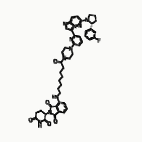 O=C1CCC(N2C(=O)c3cccc(NCCCCCCCC(=O)N4CCN(c5cccc(-c6cnc7ccc(N8CCC[C@@H]8c8cccc(F)c8)nn67)n5)CC4)c3C2=O)C(=O)N1